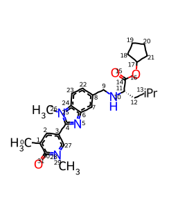 Cc1cc(-c2nc3cc(CN[C@@H](CC(C)C)C(=O)OC4CCCC4)ccc3n2C)cn(C)c1=O